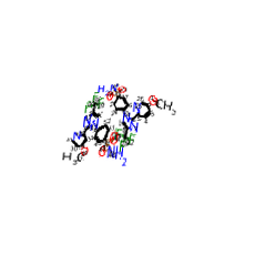 COc1ccc(-c2nc(C(F)(F)F)cn2-c2ccc(S(N)(=O)=O)cc2)nc1.COc1ccnc(-c2nc(C(F)(F)F)cn2-c2ccc(S(N)(=O)=O)cc2)c1